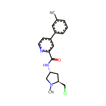 N#Cc1cccc(-c2ccnc(C(=O)N[C@@H]3C[C@@H](CCl)N(C#N)C3)c2)c1